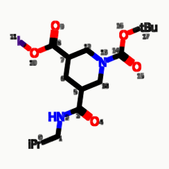 CC(C)CNC(=O)C1CC(C(=O)OI)CN(C(=O)OC(C)(C)C)C1